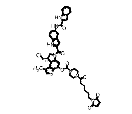 Cc1csc2c(OC(=O)N3CCN(C(=O)CCCCCN4C(=O)C=CC4=O)CC3)cc3c(c12)[C@@H](CCl)CN3C(=O)c1cc2cc(NC(=O)c3cc4ccccc4[nH]3)ccc2[nH]1